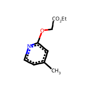 CCOC(=O)COc1cc(C)ccn1